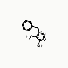 Cc1c([NH-])on[n+]1Cc1ccccc1